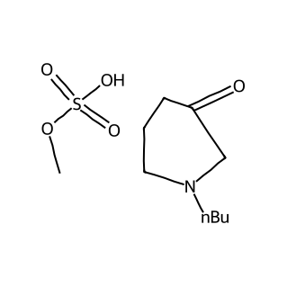 CCCCN1CCCC(=O)C1.COS(=O)(=O)O